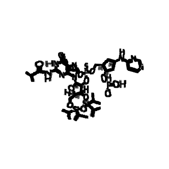 CC(C)C(=O)Nc1nc2c(ncn2[C@@H]2O[C@@H]3CO[Si](C(C)C)(C(C)C)O[Si](C(C)C)(C(C)C)O[C@H]3[C@@H]2OP(=S)(OCCC#N)OC[C@H]2C[C@@H](Nc3ccncn3)C[C@@H]2O[PH](=O)O)c(=O)[nH]1